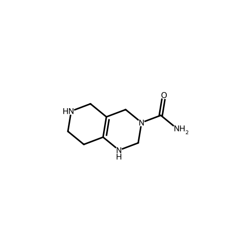 NC(=O)N1CNC2=C(CNCC2)C1